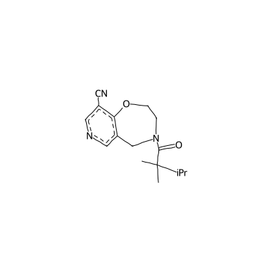 CC(C)C(C)(C)C(=O)N1CCOc2c(C#N)cncc2C1